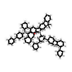 CC1(C)c2ccccc2-c2cc3c4cc(-c5ccccc5N(c5ccc(-c6ccccc6)cc5)c5cccc6ccccc56)ccc4n(-c4nc(-c5ccccc5)nc(-c5ccc6c(c5)sc5c(-c7ccccc7)cccc56)n4)c3cc21